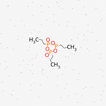 CCCP1OP(=O)(CCC)OP(=O)(CCC)O1